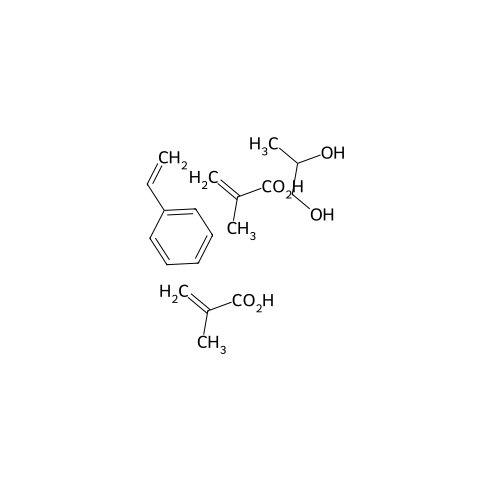 C=C(C)C(=O)O.C=C(C)C(=O)O.C=Cc1ccccc1.CC(O)CO